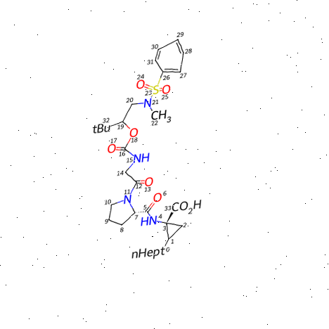 CCCCCCCC1C[C@]1(NC(=O)[C@@H]1CCCN1C(=O)CNC(=O)OC(CN(C)S(=O)(=O)c1ccccc1)C(C)(C)C)C(=O)O